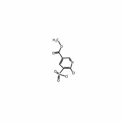 COC(=O)c1cnc(Cl)c(S(=O)(=O)Cl)c1